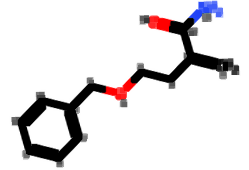 C=C(CCOCc1ccccc1)C(N)=O